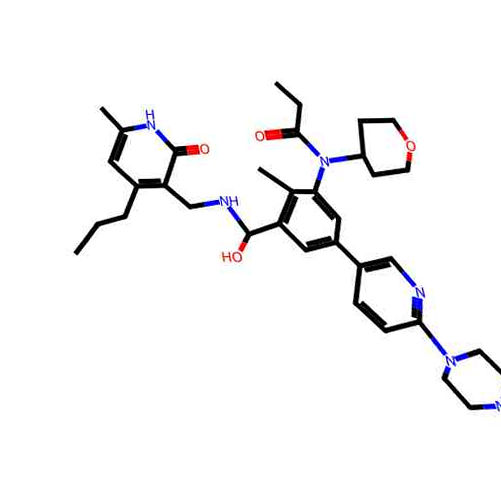 CCCc1cc(C)[nH]c(=O)c1CNC(O)c1cc(-c2ccc(N3CCN(C)CC3)nc2)cc(N(C(=O)CC)C2CCOCC2)c1C